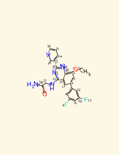 COc1cc(-c2cc(F)cc(F)c2)cc2c(NCC(N)=O)nc(-c3cccnc3)nc12